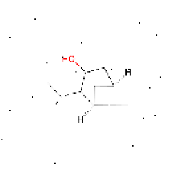 CCC1C(O)C[C@@H]2C[C@H]1C2(C)C